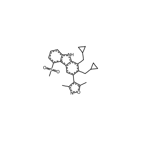 Cc1noc(C)c1-c1cc2c([nH]c3cccc(S(C)(=O)=O)c32)c(CC2CC2)c1CC1CC1